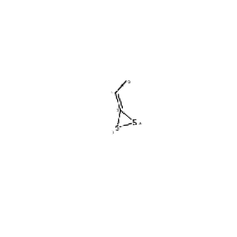 CC=C1SS1